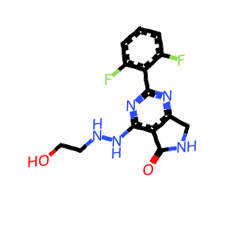 O=C1NCc2nc(-c3c(F)cccc3F)nc(NNCCO)c21